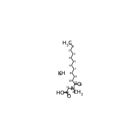 CCCCCCCCCCCC(=O)N(C)CC(=O)O.[KH]